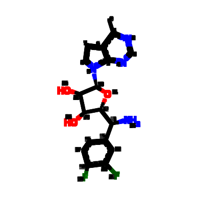 Cc1ncnc2c1ccn2[C@@H]1O[C@H]([C@@H](N)c2ccc(F)c(F)c2)[C@@H](O)[C@H]1O